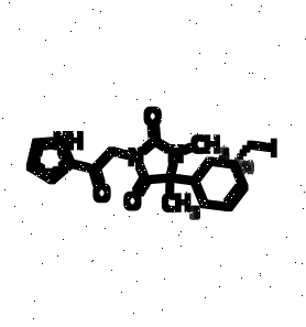 CN1C(=O)N(CC(=O)c2ccc[nH]2)C(=O)C1(C)C1CC=C[C@@H](CI)C1